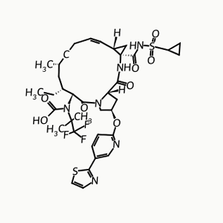 CC[C@@H]1C[C@H](C)CCC=C[C@@H]2C[C@@]2(C(=O)NS(=O)(=O)C2CC2)NC(=O)[C@@H]2C[C@@H](Oc3ccc(-c4nccs4)cn3)CN2C(=O)[C@H]1N(C(=O)O)C(C)(C)C(F)(F)F